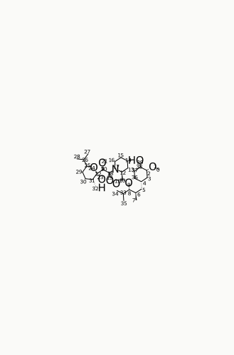 CO[C@@H]1C[C@H](C[C@@H](C)[C@@H](OC(=O)[C@@H]2CCCCN2C(=O)C(=O)[C@]2(O)OC(C(C)C)CC[C@H]2C)C(C)C)CC[C@H]1O